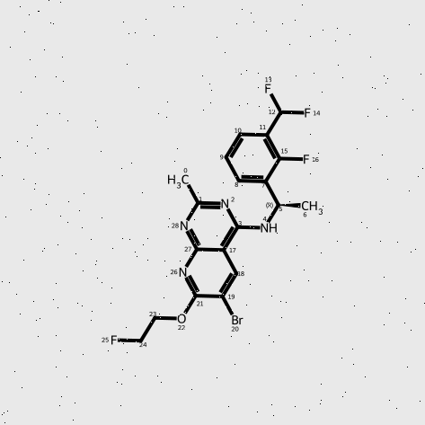 Cc1nc(N[C@H](C)c2cccc(C(F)F)c2F)c2cc(Br)c(OCCF)nc2n1